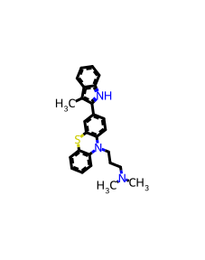 Cc1c(-c2ccc3c(c2)Sc2ccccc2N3CCCN(C)C)[nH]c2ccccc12